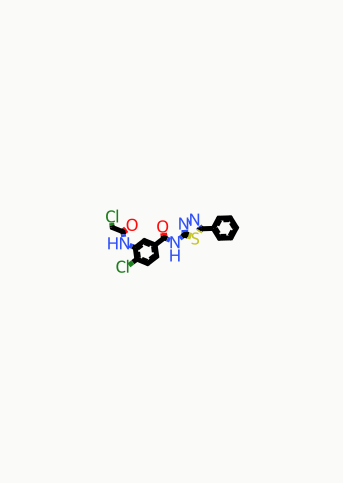 O=C(CCl)Nc1cc(C(=O)Nc2nnc(-c3ccccc3)s2)ccc1Cl